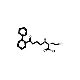 O=C(CCCN[C@@H](CCS)C(=O)O)c1ccccc1-c1ccccc1